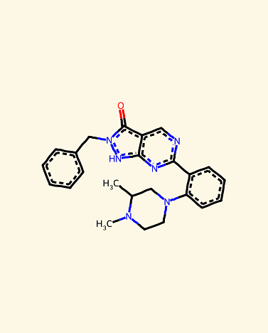 CC1CN(c2ccccc2-c2ncc3c(=O)n(Cc4ccccc4)[nH]c3n2)CCN1C